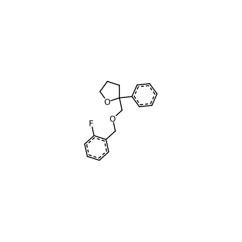 Fc1ccccc1COCC1(c2ccccc2)CCCO1